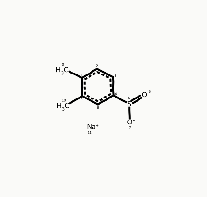 Cc1ccc(S(=O)[O-])cc1C.[Na+]